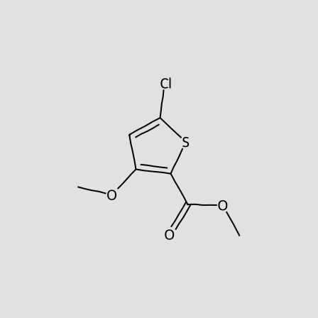 COC(=O)c1sc(Cl)cc1OC